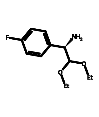 CCOC(OCC)[C@@H](N)c1ccc(F)cc1